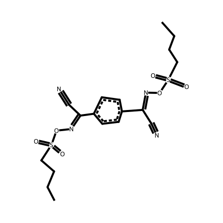 CCCCS(=O)(=O)ON=C(C#N)c1ccc(C(C#N)=NOS(=O)(=O)CCCC)cc1